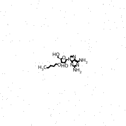 CCCCCO[C@H]1[C@@H](O)[C@H](n2cnc3c(N)nc(N)nc32)O[C@@H]1CO